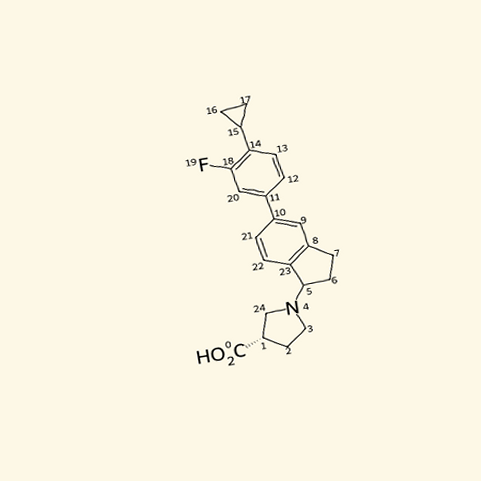 O=C(O)[C@H]1CCN(C2CCc3cc(-c4ccc(C5CC5)c(F)c4)ccc32)C1